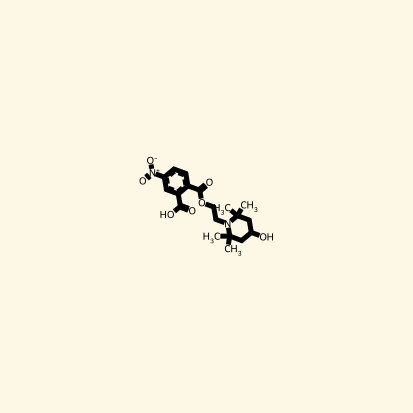 CC1(C)CC(O)CC(C)(C)N1CCOC(=O)c1ccc([N+](=O)[O-])cc1C(=O)O